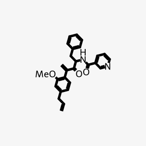 C=CCc1ccc(C(=C)C(=O)C(Cc2ccccc2)NC(=O)c2cccnc2)c(OC)c1